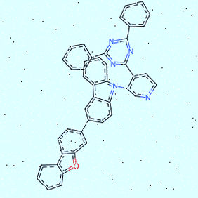 c1ccc(-c2nc(-c3ccccc3)nc(-c3ccncc3-n3c4ccccc4c4cc(-c5ccc6c(c5)oc5ccccc56)ccc43)n2)cc1